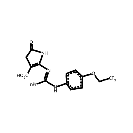 CCCC(=NC1=C(C(=O)O)CC(=O)N1)Nc1ccc(OCC(F)(F)F)cc1